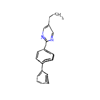 CCc1cnc(-c2ccc(-c3ccccc3)cc2)nc1